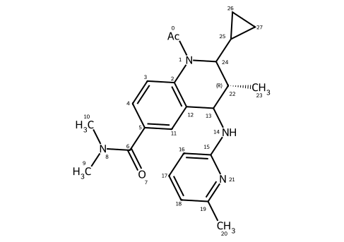 CC(=O)N1c2ccc(C(=O)N(C)C)cc2C(Nc2cccc(C)n2)[C@@H](C)C1C1CC1